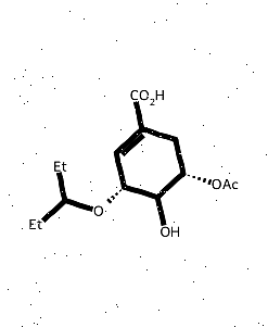 CCC(CC)O[C@@H]1C=C(C(=O)O)C[C@H](OC(C)=O)C1O